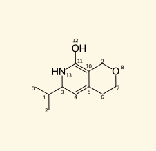 CC(C)C1C=C2CCOCC2=C(O)N1